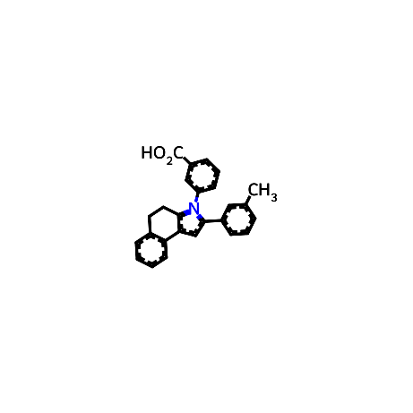 Cc1cccc(-c2cc3c(n2-c2cccc(C(=O)O)c2)CCc2ccccc2-3)c1